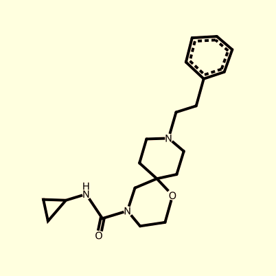 O=C(NC1CC1)N1CCOC2(CCN(CCc3ccccc3)CC2)C1